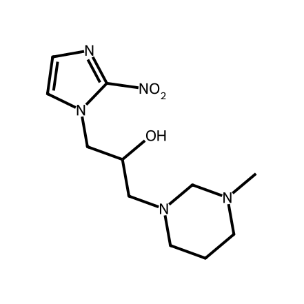 CN1CCCN(CC(O)Cn2ccnc2[N+](=O)[O-])C1